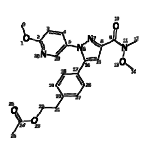 COc1ccc(-n2nc(C(=O)N(C)OC)cc2-c2ccc(CCOC(C)=O)cc2)cn1